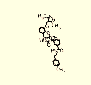 Cc1ccc(CCNC(=O)c2cccc(N3C(=O)NC4CC3(C)Oc3c(OCc5c(C)noc5C)cccc34)c2)cc1